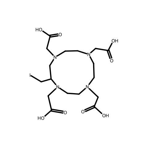 O=C(O)CN1CCN(CC(=O)O)CCN(CC(=O)O)C(CI)CN(CC(=O)O)CC1